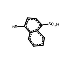 O=S(=O)(O)c1ccc(S)c2ccccc12